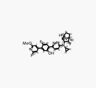 COc1cc(-c2cc(O)c(-c3ccc(N(C4CC4)C4C[C@H]5CC[C@H](N5)C4F)nn3)cc2F)cc(F)n1